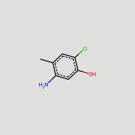 Cc1cc(Cl)c(O)cc1N